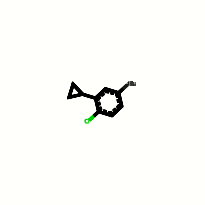 CC(C)(C)c1ccc(Cl)c(C2CC2)c1